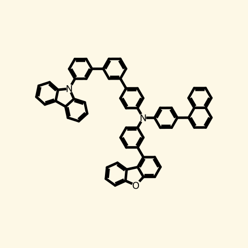 c1cc(-c2ccc(N(c3ccc(-c4cccc5ccccc45)cc3)c3cccc(-c4cccc5oc6ccccc6c45)c3)cc2)cc(-c2cccc(-n3c4ccccc4c4ccccc43)c2)c1